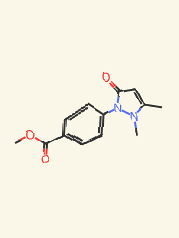 COC(=O)c1ccc(-n2c(=O)cc(C)n2C)cc1